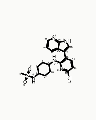 CS(=O)(=O)NC1CCC(Nc2nc(Cl)ccc2-c2c[nH]c3ncccc23)CC1